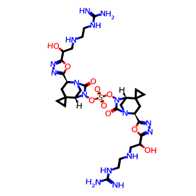 N=C(N)NCCNCC(O)c1nnc([C@@H]2CC3(CC3)[C@@H]3CN2C(=O)N3OS(=O)(=O)ON2C(=O)N3C[C@H]2C2(CC2)C[C@H]3c2nnc(C(O)CNCCNC(=N)N)o2)o1